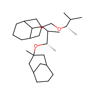 CC(C)[C@H](C)OCC1CC2CCCC(C1)C2CC(C)[C@H](C)OC1(C)CC2CCCC(C2)C1